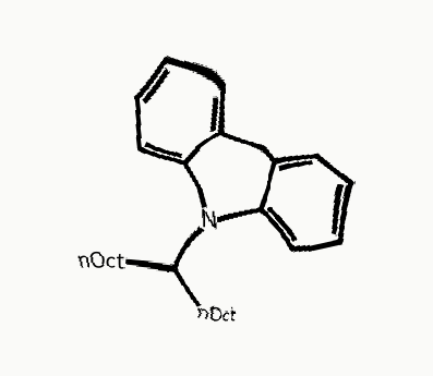 CCCCCCCCC(CCCCCCCC)n1c2ccccc2c2ccccc21